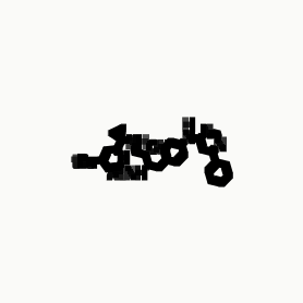 CC(=O)N[C@@H](Cc1ccc(Nc2cc(-c3ccccc3)ncn2)cc1)[C@@H](O)CNC1(c2cc(C(C)(C)C)ccn2)CC1